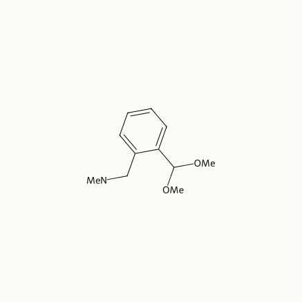 CNCc1ccccc1C(OC)OC